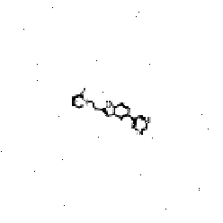 C[C@@H]1CCCN1CCc1cc2cc(-c3cncnc3)ccc2o1